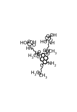 C=C(O)C(CC(=O)O)NCCCN(C)S(=O)(=O)c1cc(S(=O)(=O)N(C)CCCNC(CC(=O)O)C(=O)O)c2ccc3c(OCCCN(C)C)cc(N)c4ccc1c2c43